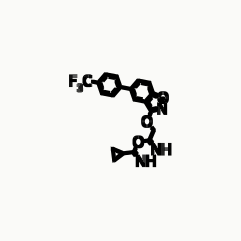 N=C(COc1noc2ccc(-c3ccc(C(F)(F)F)cc3)cc12)OC(=N)C1CC1